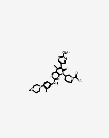 CCC(=O)N1CCCC(n2c(=O)c(-c3cnc(OC)nc3)c(C)c3cnc(Nc4ccc(N5CCN(C)CC5)c(C)c4)nc32)C1